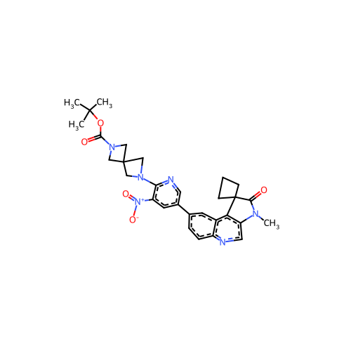 CN1C(=O)C2(CCC2)c2c1cnc1ccc(-c3cnc(N4CC5(CN(C(=O)OC(C)(C)C)C5)C4)c([N+](=O)[O-])c3)cc21